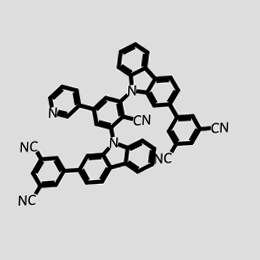 N#Cc1cc(C#N)cc(-c2ccc3c4ccccc4n(-c4cc(-c5cccnc5)cc(-n5c6ccccc6c6ccc(-c7cc(C#N)cc(C#N)c7)cc65)c4C#N)c3c2)c1